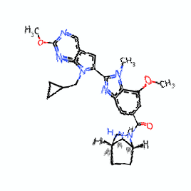 COc1ncc2cc(-c3nc4cc(C(=O)N5C[C@H]6CC[C@@H]5[C@@H]6N)cc(OC)c4n3C)n(CC3CC3)c2n1